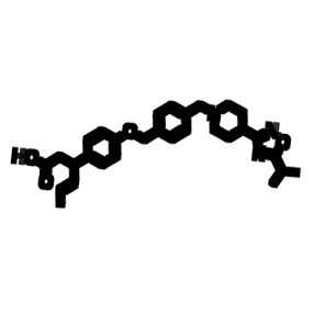 CC=CC(CC(=O)O)c1ccc(OCc2ccc(CN3CCC(c4noc(C(C)C)n4)CC3)cc2)cc1